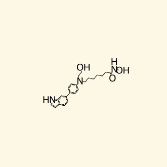 O=C(CCCCCCN(CCO)c1ccc(-c2ccc3cc[nH]c3c2)cc1)NO